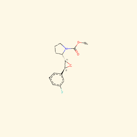 CC(C)(C)OC(=O)N1CCCC1[C@@H]1O[C@H]1c1cccc(F)c1